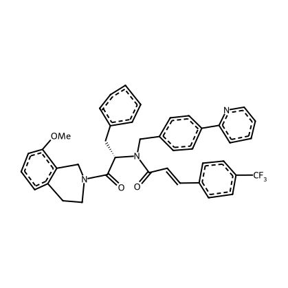 COc1cccc2c1CN(C(=O)[C@H](Cc1ccccc1)N(Cc1ccc(-c3ccccn3)cc1)C(=O)C=Cc1ccc(C(F)(F)F)cc1)CC2